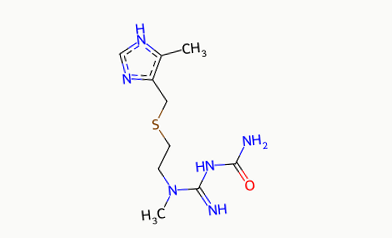 Cc1[nH]cnc1CSCCN(C)C(=N)NC(N)=O